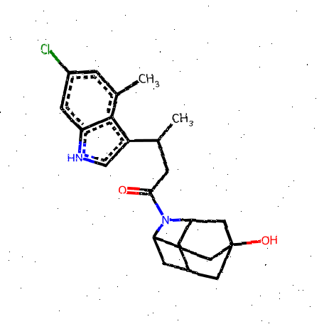 Cc1cc(Cl)cc2[nH]cc(C(C)CC(=O)N3C4CC5CC3CC(O)(C5)C4)c12